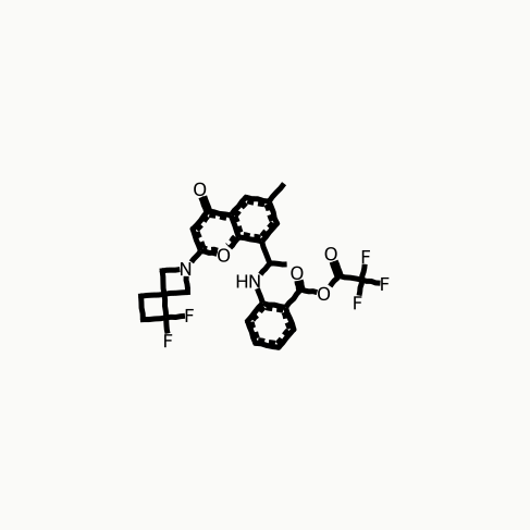 Cc1cc(C(C)Nc2ccccc2C(=O)OC(=O)C(F)(F)F)c2oc(N3CC4(CCC4(F)F)C3)cc(=O)c2c1